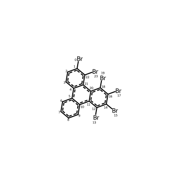 Brc1ccc2c3ccccc3c3c(Br)c(Br)c(Br)c(Br)c3c2c1Br